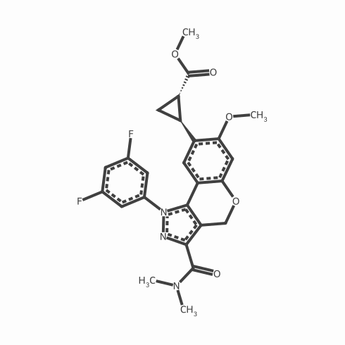 COC(=O)[C@H]1C[C@@H]1c1cc2c(cc1OC)OCc1c(C(=O)N(C)C)nn(-c3cc(F)cc(F)c3)c1-2